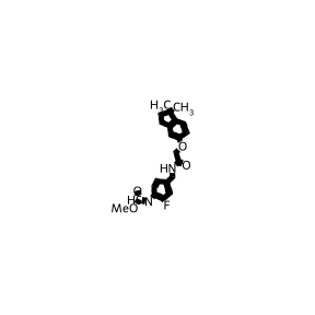 CO[SH](=O)=Nc1ccc(CNC(=O)COc2ccc3c(c2)CCC3(C)C)cc1F